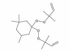 C=CC(C)(C)OOC1(OOC(C)(C)C=C)CC(C)CC(C)(C)C1